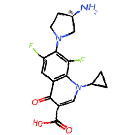 N[C@@H]1CCN(c2c(F)cc3c(=O)c(C(=O)O)cn(C4CC4)c3c2F)C1